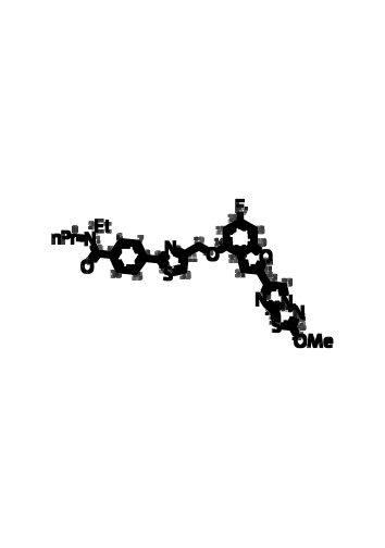 CCCN(CC)C(=O)c1ccc(-c2nc(COc3cc(F)cc4oc(-c5cn6nc(OC)sc6n5)cc34)cs2)cc1